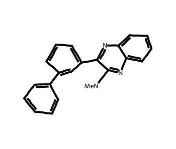 CNc1nc2ccccc2nc1-c1cccc(-c2ccccc2)c1